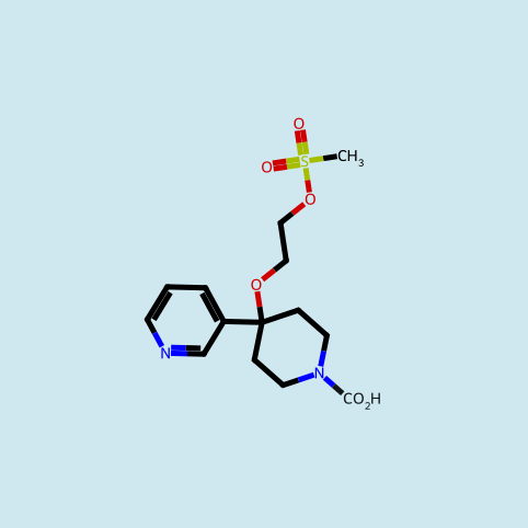 CS(=O)(=O)OCCOC1(c2cccnc2)CCN(C(=O)O)CC1